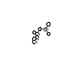 c1ccc(-c2cc(-c3cccc(-c4nc5cnc6c(ccc7cccnc76)c5c5ccccc45)c3)nc(-c3ccccc3)n2)cc1